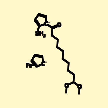 COC(CCCCCCCCC(=O)[c-]1cccc1[SiH3])OC.[Fe+2].c1cc[cH-]c1